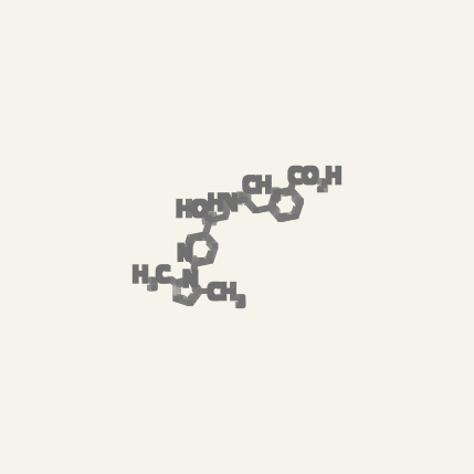 Cc1ccc(C)n1-c1ccc([C@@H](O)CN[C@H](C)Cc2cccc(C(=O)O)c2)cn1